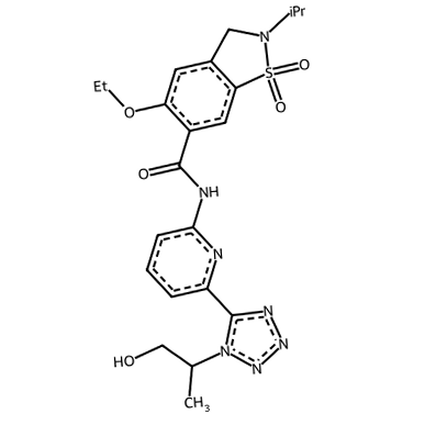 CCOc1cc2c(cc1C(=O)Nc1cccc(-c3nnnn3C(C)CO)n1)S(=O)(=O)N(C(C)C)C2